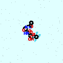 O=C(O)C[C@H](NC(=O)[C@@H]1COCCN(Cc2noc3ccccc23)C1)C(=O)COc1c(F)c(F)cc(F)c1F